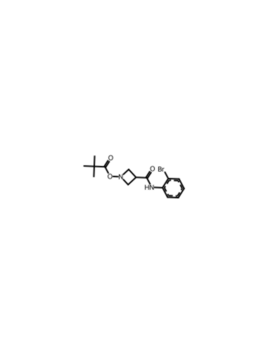 CC(C)(C)C(=O)ON1CC(C(=O)Nc2ccccc2Br)C1